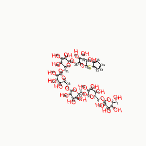 OCC1O[C@@H](OC[C@H]2O[C@@H](OCC3O[C@@H](OCC4O[C@@H](OCC5O[C@@H](OCC6O[C@@H](Sc7ccccc7)[C@H](O)[C@@H](O)[C@@H]6O)[C@H](O)[C@@H](O)[C@@H]5O)[C@H](O)[C@@H](O)[C@@H]4O)[C@H](O)[C@@H](O)[C@@H]3O)[C@H](O)[C@@H](O)[C@@H]2O)[C@H](O)[C@@H](O)[C@@H]1O